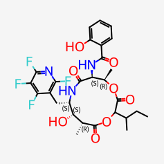 CCC(C)C1OC(=O)[C@H](C)[C@H](O)[C@H](Cc2c(F)nc(F)c(F)c2F)NC(=O)[C@@H](NC(=O)c2ccccc2O)[C@@H](C)OC1=O